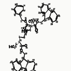 O=C(O)[C@H](CCNC[C@@](C(=O)O)(C(=O)OCc1ccccc1)C(=O)OCC1c2ccccc2-c2ccccc21)C(=O)OCC1c2ccccc2-c2ccccc21